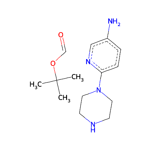 CC(C)(C)OC=O.Nc1ccc(N2CCNCC2)nc1